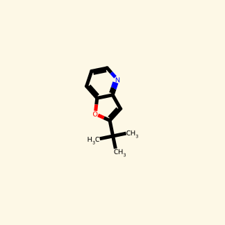 CC(C)(C)c1cc2ncccc2o1